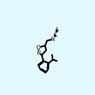 CC(C)c1ccccc1C1=NOC(CN=C=S)C1